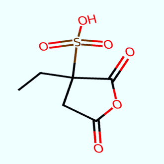 CCC1(S(=O)(=O)O)CC(=O)OC1=O